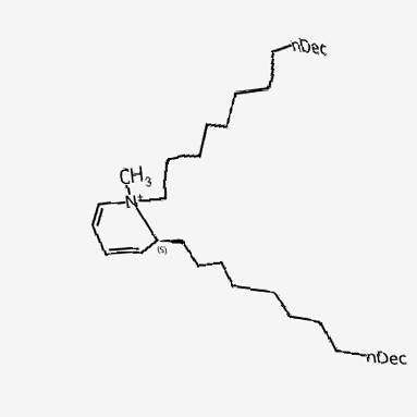 CCCCCCCCCCCCCCCCCC[C@H]1C=CC=C[N+]1(C)CCCCCCCCCCCCCCCCCC